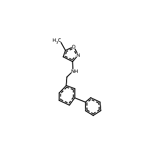 Cc1cc(NCc2cccc(-c3ccccc3)c2)no1